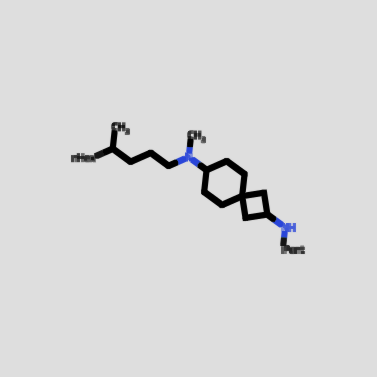 CCCCCCC(C)CCCN(C)C1CCC2(CC1)CC(NC(C)CCC)C2